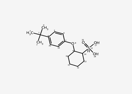 CC(C)(C)c1ccc(OC2CCCCC2[SH](=O)(O)O)cc1